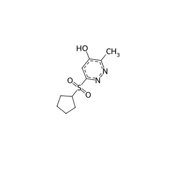 Cc1nnc(S(=O)(=O)C2CCCC2)cc1O